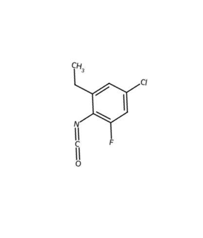 CCc1cc(Cl)cc(F)c1N=C=O